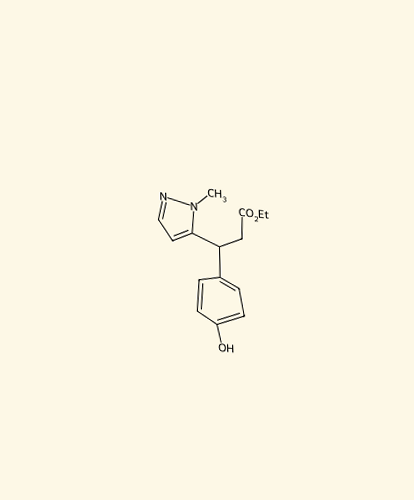 CCOC(=O)CC(c1ccc(O)cc1)c1ccnn1C